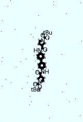 CC(C)(C)OC(=O)N1CCC(C(=O)Nc2ccc(-c3ccc(NC(=O)C4CCN(C(=O)OC(C)(C)C)C4)cc3)cc2)C1